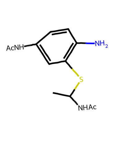 CC(=O)Nc1ccc(N)c(SC(C)NC(C)=O)c1